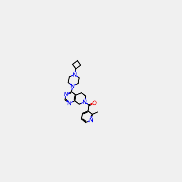 Cc1ncccc1C(=O)N1CCc2c(ncnc2N2CCN(C3CCC3)CC2)C1